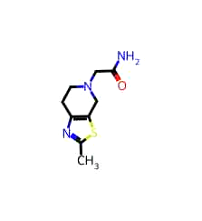 Cc1nc2c(s1)CN(CC(N)=O)CC2